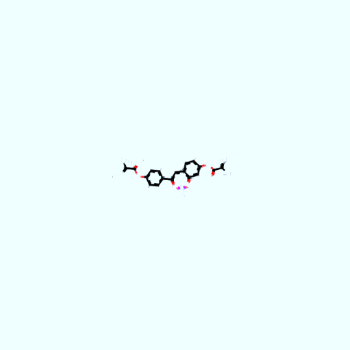 C=C(C)C(=O)Oc1ccc(-c2cc3ccc(OC(=O)C(=C)C)cc3o[nH]o2)cc1